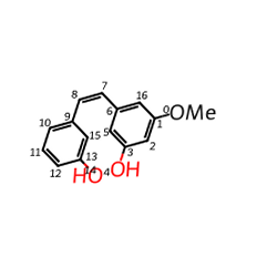 COc1cc(O)cc(/C=C\c2cccc(O)c2)c1